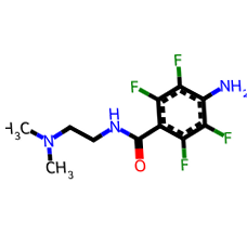 CN(C)CCNC(=O)c1c(F)c(F)c(N)c(F)c1F